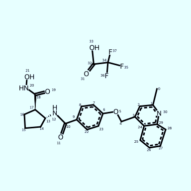 Cc1cc(COc2ccc(C(=O)N[C@@H]3CCC[C@H]3C(=O)NO)cc2)c2ccccc2n1.O=C(O)C(F)(F)F